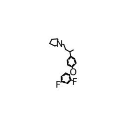 CC(CCN1CCCC1)c1ccc(Oc2ccc(F)cc2F)cc1